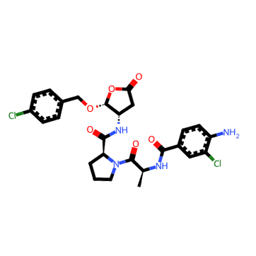 C[C@H](NC(=O)c1ccc(N)c(Cl)c1)C(=O)N1CCC[C@H]1C(=O)N[C@H]1CC(=O)O[C@H]1OCc1ccc(Cl)cc1